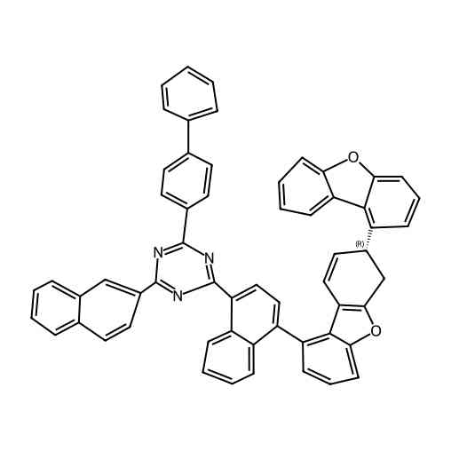 C1=C[C@H](c2cccc3oc4ccccc4c23)Cc2oc3cccc(-c4ccc(-c5nc(-c6ccc(-c7ccccc7)cc6)nc(-c6ccc7ccccc7c6)n5)c5ccccc45)c3c21